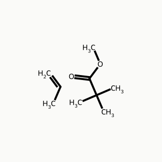 C=CC.COC(=O)C(C)(C)C